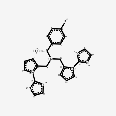 C[C@H](c1ccc(F)cc1)N(Cc1cccn1-c1nccs1)Cc1cccn1-c1nccs1